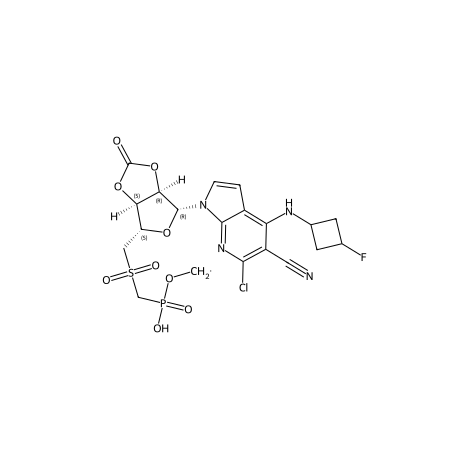 [CH2]OP(=O)(O)CS(=O)(=O)C[C@H]1O[C@@H](n2ccc3c(NC4CC(F)C4)c(C#N)c(Cl)nc32)[C@@H]2OC(=O)O[C@@H]21